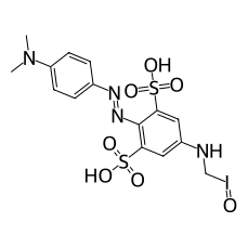 CN(C)c1ccc(N=Nc2c(S(=O)(=O)O)cc(NCI=O)cc2S(=O)(=O)O)cc1